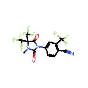 CN1C(=O)N(c2ccc(C#N)c(C(F)(F)F)c2)C(=O)C1(C(F)(F)F)C(F)(F)F